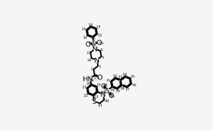 O=C(CCN1CCN(S(=O)(=O)c2ccccc2)CC1)Nc1ccc2c(c1)N(S(=O)(=O)c1ccc3ccccc3c1)CCS2